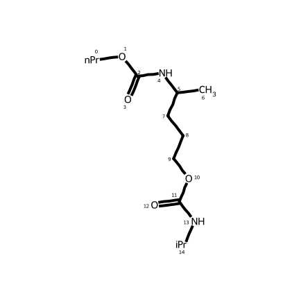 CCCOC(=O)NC(C)CCCOC(=O)NC(C)C